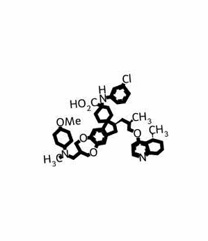 COC1CCC(N(C)CC2COc3cc4c(cc3OC2)C2(CCC(Nc3cccc(Cl)c3)(C(=O)O)CC2)[C@@H](C[C@@H](C)COc2ccnc3c2[C@H](C)CCC3)C4)CC1